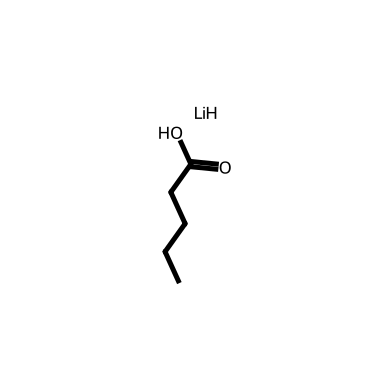 CCCCC(=O)O.[LiH]